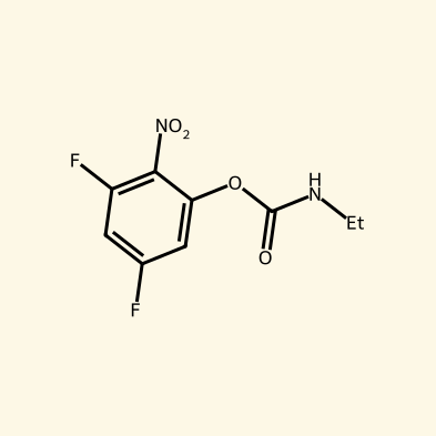 CCNC(=O)Oc1cc(F)cc(F)c1[N+](=O)[O-]